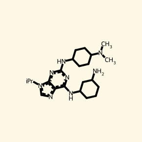 CC(C)n1cnc2c(NC3CCCC(N)C3)nc(NC3CCC(N(C)C)CC3)nc21